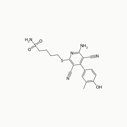 Cc1cc(-c2c(C#N)c(N)nc(SCCCCS(N)(=O)=O)c2C#N)ccc1O